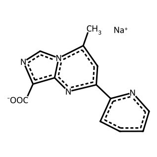 Cc1cc(-c2ccccn2)nc2c(C(=O)[O-])ncn12.[Na+]